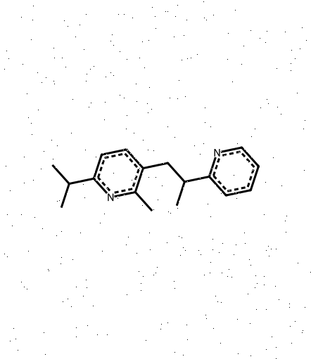 Cc1nc(C(C)C)ccc1CC(C)c1ccccn1